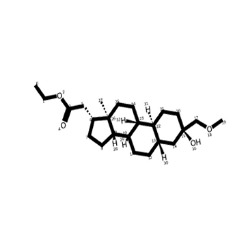 CCOC(=O)C[C@H]1CC[C@H]2[C@@H]3CC[C@H]4C[C@@](O)(COC)CC[C@@H]4[C@H]3CC[C@]12C